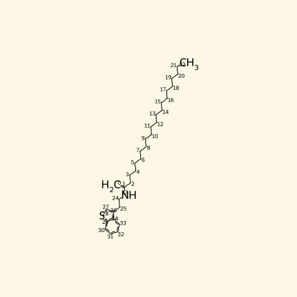 C=C(CCCCCCCCCCCCCCCCCCCCC)NCCc1csc2ccccc12